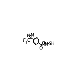 O=C(ONS)c1ccc(C2(C(F)(F)F)N=N2)cc1